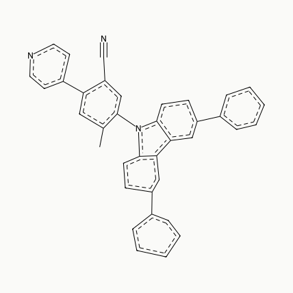 Cc1cc(-c2ccncc2)c(C#N)cc1-n1c2ccc(-c3ccccc3)cc2c2cc(-c3ccccc3)ccc21